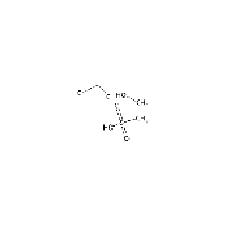 CO.CS(=O)(=O)O.ClCCl